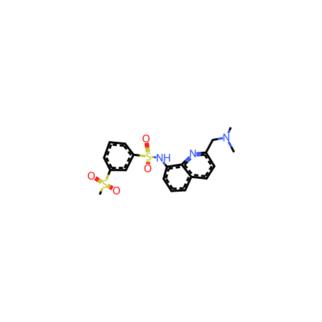 CN(C)Cc1ccc2cccc(NS(=O)(=O)c3cccc(S(C)(=O)=O)c3)c2n1